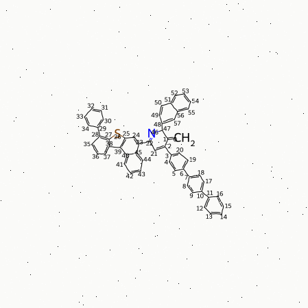 C=C1C(c2ccc(-c3ccc(-c4ccccc4)cc3)cc2)=CC(c2cc3sc4c(-c5ccccc5)cccc4c3c3ccccc23)=NC1c1ccc2ccccc2c1